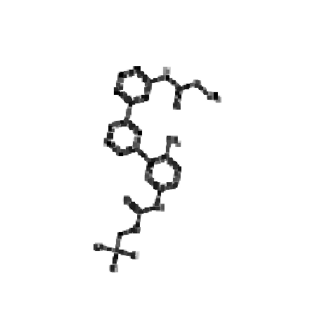 COC(=O)Nc1cc(-c2cncc(-c3cc(NC(=O)OCC(Cl)(Cl)Cl)ccc3C)c2)ncn1